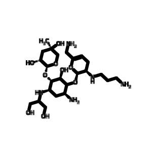 C[C@]1(O)CO[C@H](O[C@H]2[C@H](NC(CO)CO)C[C@H](N)C(O[C@H]3OC(CN)=CC[C@H]3NCCCN)[C@@H]2O)[C@H](O)C1